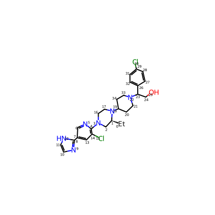 CC[C@H]1CN(c2ncc(-c3ncc[nH]3)cc2Cl)CCN1C1CCN(C(CO)c2ccc(Cl)cc2)CC1